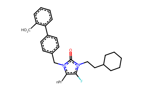 CCCc1c(F)n(CCC2CCCCC2)c(=O)n1Cc1ccc(-c2ccccc2C(=O)O)cc1